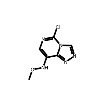 CONc1cnc(Cl)n2cnnc12